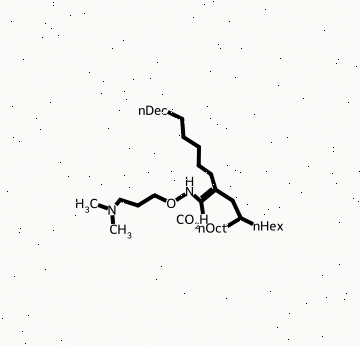 CCCCCCCCCCCCCCCC(CC(CCCCCC)CCCCCCCC)=C(NOCCCN(C)C)C(=O)O